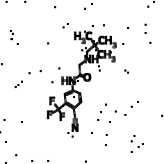 CC(C)(C)CNCC(=O)Nc1ccc(C#N)c(C(F)(F)F)c1